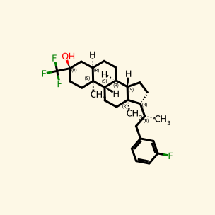 C[C@H](Cc1cccc(F)c1)[C@H]1CC[C@H]2[C@@H]3CC[C@@H]4C[C@@](O)(C(F)(F)F)CC[C@]4(C)[C@H]3CC[C@]12C